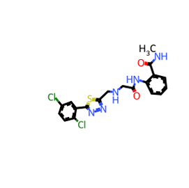 CNC(=O)c1ccccc1NC(=O)CNCc1nnc(-c2cc(Cl)ccc2Cl)s1